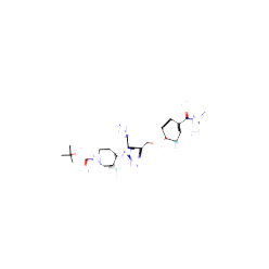 CNC(=O)C1=CC(F)C(OCc2cnn([C@H]3CCN(C(=O)OC(C)(C)C)C[C@H]3F)c2C#N)C=C1